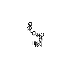 O=C(N1CC[C@H](c2ncn[nH]2)C1)N1CC2(CCC(Cc3ccc(Cl)cn3)CC2)C1